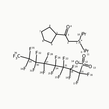 CC(C)[S+](CC(=O)C1CCCC1)C(C)C.O=S(=O)([O-])C(F)(F)C(F)(F)C(F)(F)C(F)(F)C(F)(F)C(F)(F)C(F)(F)C(F)(F)F